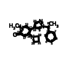 CC(c1ccccc1)n1cc(-c2cn(C)c(=O)cc2N2CCC2)cn1